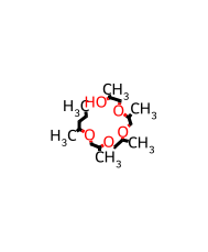 CCCC(C)OCC(C)OCC(C)OCC(C)OCC(C)O